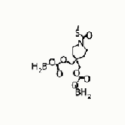 BOC(=O)OCC1(COC(=O)OB)CCN(C(=O)SC)CC1